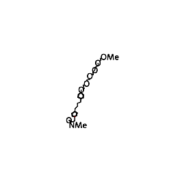 CNC(=O)Cc1ccc(CCCCc2ccc(OCCOCCOCCOCCOCCOC)cc2)cc1